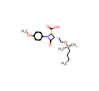 CCCC[Si](C)(C)OCC[C@@H]1C(=O)N(c2ccc(OC)cc2)[C@@H]1C(=O)O